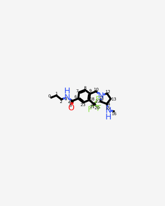 CCCNC(=O)c1ccc(CN2CCC(NC)C2)c(C(F)(F)F)c1